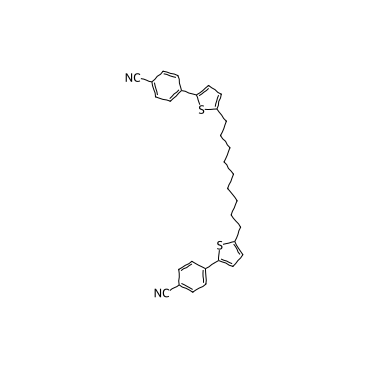 N#Cc1ccc(-c2ccc(CCCCCCCCCc3ccc(-c4ccc(C#N)cc4)s3)s2)cc1